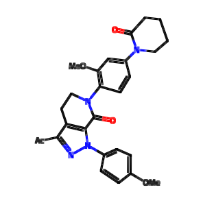 COc1ccc(-n2nc(C(C)=O)c3c2C(=O)N(c2ccc(N4CCCCC4=O)cc2OC)CC3)cc1